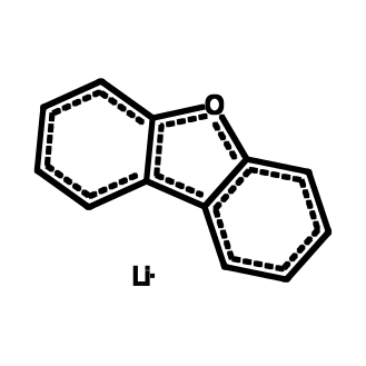 [Li].c1ccc2c(c1)oc1ccccc12